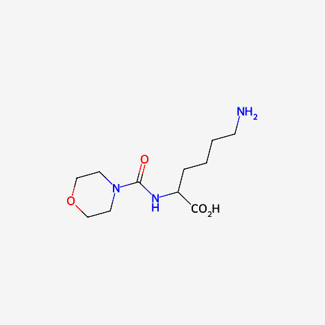 NCCCCC(NC(=O)N1CCOCC1)C(=O)O